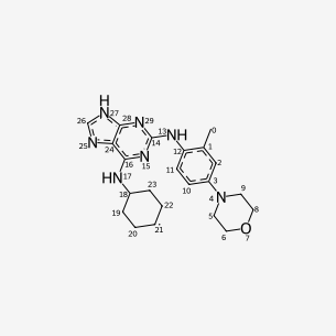 Cc1cc(N2CCOCC2)ccc1Nc1nc(NC2CC[CH]CC2)c2nc[nH]c2n1